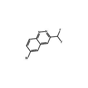 FC(F)c1cc2cc(Br)ccc2nn1